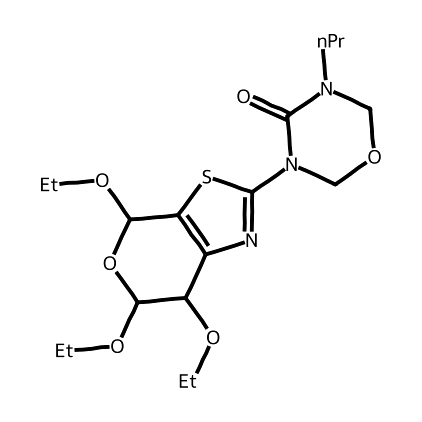 CCCN1COCN(c2nc3c(s2)C(OCC)OC(OCC)C3OCC)C1=O